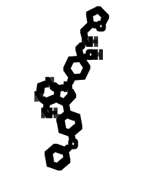 Nc1ncnc2c1c(-c1ccc(Oc3ccccc3)cc1)cn2C1CCC(O)(CNCC2CCCO2)CC1